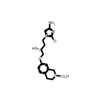 O=C(O)N1CCc2ccc(OC[C@H](O)CCn3cc([N+](=O)[O-])nc3Cl)cc2C1